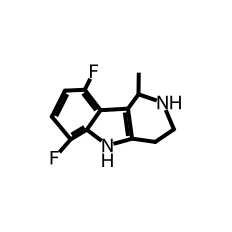 CC1NCCc2[nH]c3c(F)ccc(F)c3c21